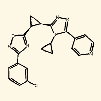 Clc1cccc(-c2noc([C@H]3C[C@H]3c3nnc(-c4ccncc4)n3C3CC3)n2)c1